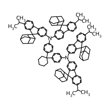 CC(C)c1ccc2c(c1)C1(c3cc(N(c4ccc(C5(c6ccc(N(c7ccc8c(c7)C7(c9cc(C(C)C)ccc9-8)C8CC9CC(C8)CC7C9)c7ccc8c(c7)C7(c9cc(C(C)C)ccc9-8)C8CC9CC(C8)CC7C9)cc6)CCCCC5)cc4)c4ccc5c(c4)C4(c6cc(C(C)C)ccc6-5)C5CC6CC(C5)CC4C6)ccc3-2)C2CC3CC(C2)CC1C3